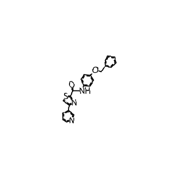 O=C(Nc1ccc(OCc2ccccc2)cc1)c1nc(-c2cccnc2)cs1